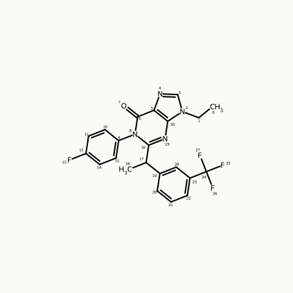 CCn1cnc2c(=O)n(-c3ccc(F)cc3)c(C(C)c3cccc(C(F)(F)F)c3)nc21